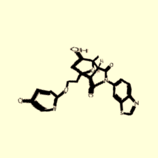 CC12OC(CCOc3ccc(Cl)cn3)(CC1O)C1C(=O)N(c3ccc4ncsc4c3)C(=O)[C@H]12